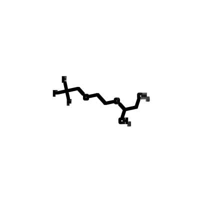 CCC(C)OCCOCC(F)(F)F